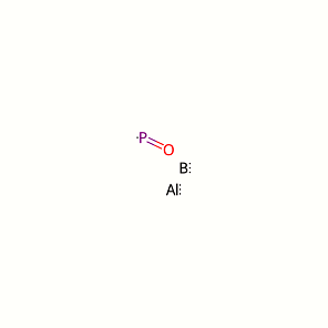 O=[P].[Al].[B]